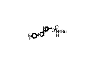 CC(C)(C)NC(=O)OCc1cnn([C@@H]2CCN(C3CCC(F)(F)CC3)C2)c1